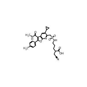 CNC(=O)c1c(-c2ccc(C)cc2)oc2nc(CS(=O)(=O)NCCCC(CC#N)C(=O)O)c(C3CC3)cc12